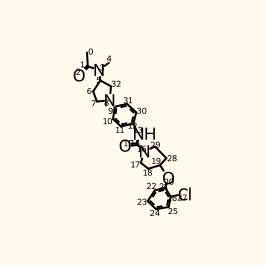 CC(=O)N(C)C1CCN(c2ccc(NC(=O)N3CCC(Oc4ccccc4Cl)CC3)cc2)C1